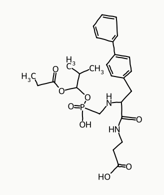 CCC(=O)OC(OP(=O)(O)CNC(Cc1ccc(-c2ccccc2)cc1)C(=O)NCCC(=O)O)C(C)C